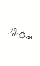 CC1OB(c2ccc(O)nc2)OC1(C)C